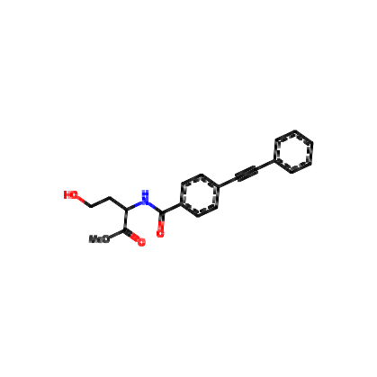 COC(=O)C(CCO)NC(=O)c1ccc(C#Cc2ccccc2)cc1